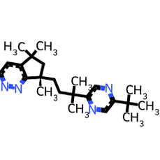 CC(C)(C)c1cnc(C(C)(C)CC[C@@]2(C)CC(C)(C)c3ccnnc32)cn1